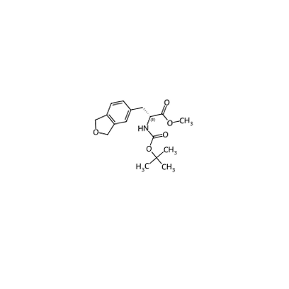 COC(=O)[C@@H](Cc1ccc2c(c1)COC2)NC(=O)OC(C)(C)C